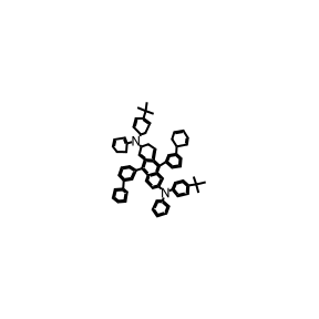 CC(C)(C)C1=CCC(N(C2=CC=CCC2)C2C=c3c(-c4cccc(-c5ccccc5)c4)c4ccc(N(c5ccccc5)c5ccc(C(C)(C)C)cc5)cc4c(-c4cccc(C5C=CC=CC5)c4)c3=CC2)C=C1